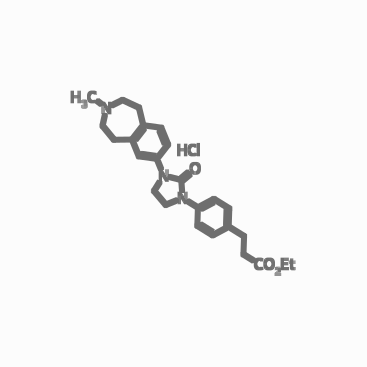 CCOC(=O)CCc1ccc(N2CCN(c3ccc4c(c3)CCN(C)CC4)C2=O)cc1.Cl